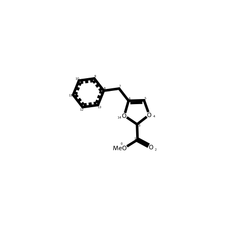 COC(=O)C1OC=C(Cc2ccccc2)O1